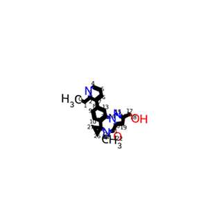 CCc1ncccc1-c1ccc2c(c1)-n1nc(CO)cc1C(=O)N(C)C21CC1